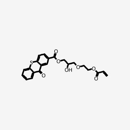 C=CC(=O)OCCOCC(O)COC(=O)c1ccc2sc3ccccc3c(=O)c2c1